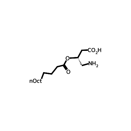 CCCCCCCCCCCC(=O)O[C@@H](CN)CC(=O)O